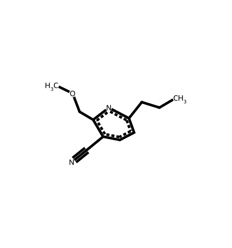 CCCc1ccc(C#N)c(COC)n1